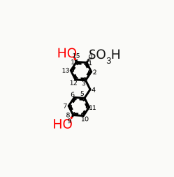 O=S(=O)(O)c1cc(Cc2ccc(O)cc2)ccc1O